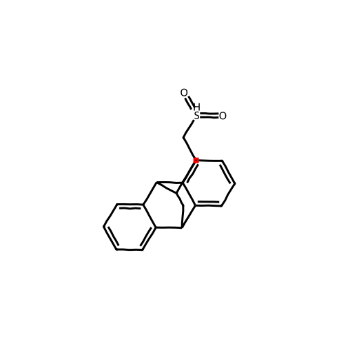 O=[SH](=O)CCC1CC2c3ccccc3C1c1ccccc12